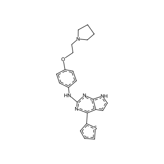 c1csc(-c2nc(Nc3ccc(OCCN4CCCC4)cc3)nc3[nH]ccc23)c1